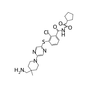 CC1(CN)CCN(c2cnc(Sc3cccc(C(=O)NS(=O)(=O)C4CCCC4)c3Cl)cn2)CC1